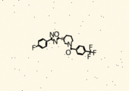 O=C(c1ccc(C(F)(F)F)cc1)N1CCC[C@H](c2nc(-c3ccc(F)cc3)no2)C1